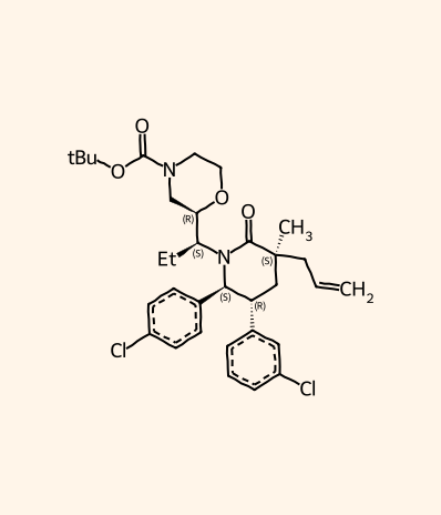 C=CC[C@@]1(C)C[C@H](c2cccc(Cl)c2)[C@@H](c2ccc(Cl)cc2)N([C@@H](CC)[C@H]2CN(C(=O)OC(C)(C)C)CCO2)C1=O